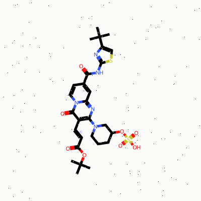 CC(C)(C)OC(=O)/C=C/c1c(N2CCCC(OS(=O)(=O)O)C2)nc2cc(C(=O)Nc3nc(C(C)(C)C)cs3)ccn2c1=O